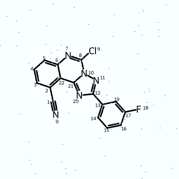 N#Cc1cccc2nc(Cl)n3nc(-c4cccc(F)c4)nc3c12